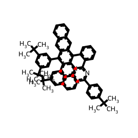 CC(C)(C)c1ccc(-c2nc(-c3ccc(C(C)(C)C)cc3)nc(-c3ccccc3-c3c4cc5ccccc5cc4c(-c4cc(C(C)(C)C)cc(C(C)(C)C)c4)c4cc5ccccc5cc34)n2)cc1